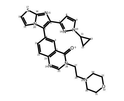 O=c1c2cc(-c3c(-c4ccn(C5CC5)n4)nc4sccn34)ccc2ncn1CCN1CCOCC1